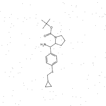 CC(C)(C)OC(=O)N1CCCC1C(N)c1ccc(SCC2CC2)cc1